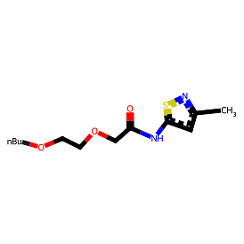 CCCCOCCOCC(=O)Nc1cc(C)ns1